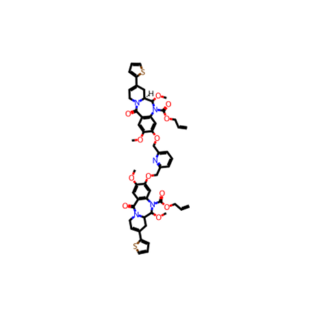 C=CCOC(=O)N1c2cc(OCc3cccc(COc4cc5c(cc4OC)C(=O)N4CC=C(c6cccs6)C[C@H]4C(OC)N5C(=O)OCC=C)n3)c(OC)cc2C(=O)N2CC=C(c3cccs3)CC2C1OC